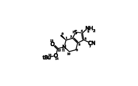 C[C@H]1c2sc(N)c(C#N)c2CCN1C(=O)OC(C)(C)C